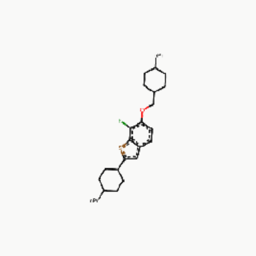 CCCC1CCC(COc2ccc3cc(C4CCC(CCC)CC4)sc3c2F)CC1